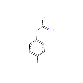 COC(=N)Nc1ccc(F)cc1